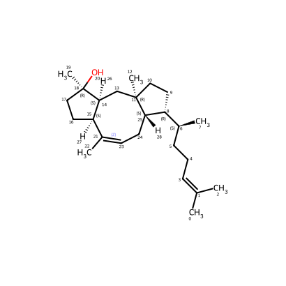 CC(C)=CCC[C@H](C)[C@H]1CC[C@]2(C)C[C@H]3[C@H](CC[C@@]3(C)O)/C(C)=C\C[C@@H]12